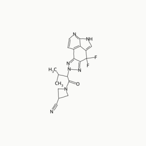 CC(C)C(C(=O)N1CC(C#N)C1)n1nc2c(n1)C(F)(F)c1c[nH]c3nccc-2c13